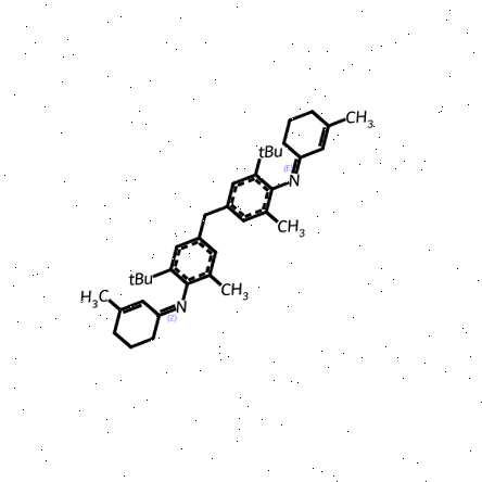 CC1=C/C(=N\c2c(C)cc(Cc3cc(C)c(/N=C4/C=C(C)CCC4)c(C(C)(C)C)c3)cc2C(C)(C)C)CCC1